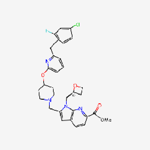 COC(=O)c1ccc2cc(CN3CCC(Oc4cccc(Cc5ccc(Cl)cc5F)n4)CC3)n(C[C@@H]3CCO3)c2n1